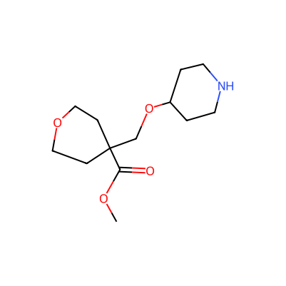 COC(=O)C1(COC2CCNCC2)CCOCC1